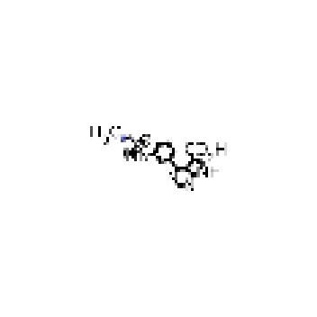 C/C=C/S(=O)(=O)Nc1cccc(-c2ncnc3[nH]cc(C(=O)O)c23)c1